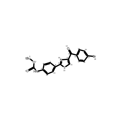 CC(C)(C)OC(=O)Nc1ccc(-c2nc(C(=O)c3ccc(Br)cc3)cs2)cc1